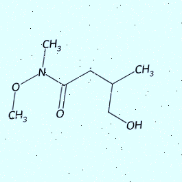 CON(C)C(=O)[CH]C(C)CO